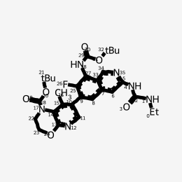 CCNC(=O)Nc1cc2cc(-c3cnc4c(c3C)N(C(=O)OC(C)(C)C)CCO4)c(F)c(NC(=O)OC(C)(C)C)c2cn1